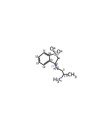 CC(C)C/N=C1\CS(=O)(=O)c2ccccc21